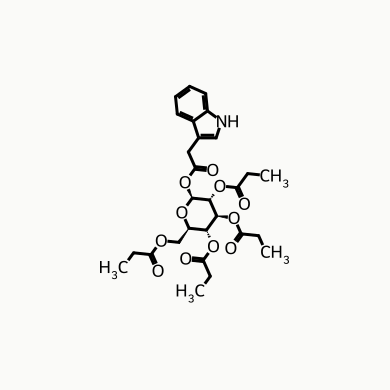 CCC(=O)OC[C@H]1O[C@@H](OC(=O)Cc2c[nH]c3ccccc23)[C@H](OC(=O)CC)[C@@H](OC(=O)CC)[C@@H]1OC(=O)CC